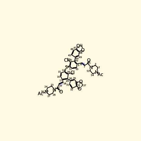 CC(=O)N1CCN(C(=O)/C=C/c2ccc(Sc3ccc(/C=C/C(=O)N4CCN(C(C)=O)CC4)c(-c4ccc5c(c4)OCO5)c3Cl)c(Cl)c2-c2ccc3c(c2)OCO3)CC1